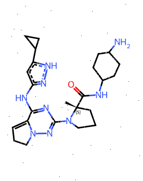 C[C@@]1(C(=O)NC2CCC(N)CC2)CCCN1C1=NN2CCC=C2C(Nc2cc(C3CC3)[nH]n2)=N1